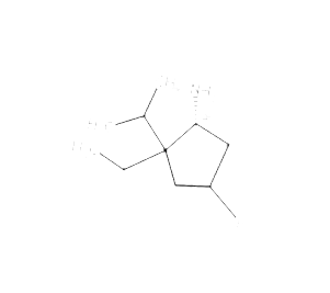 CCC1(C(C)C)CC(F)C[C@H]1N